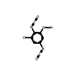 CC(C)Oc1cc(N=C=O)cc(Cl)c1N=C=O